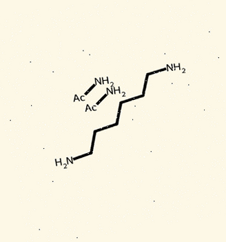 CC(N)=O.CC(N)=O.NCCCCCCN